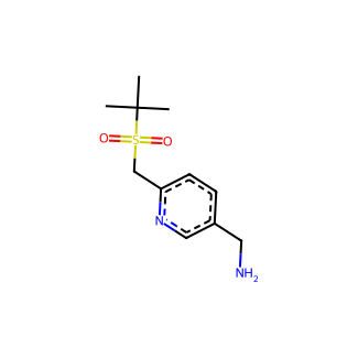 CC(C)(C)S(=O)(=O)Cc1ccc(CN)cn1